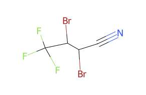 N#CC(Br)C(Br)C(F)(F)F